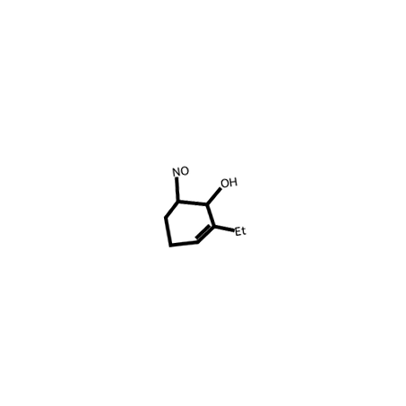 CCC1=CCCC(N=O)C1O